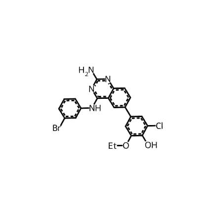 CCOc1cc(-c2ccc3nc(N)nc(Nc4cccc(Br)c4)c3c2)cc(Cl)c1O